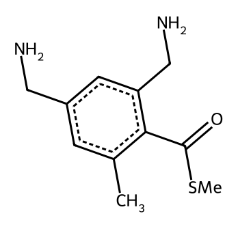 CSC(=O)c1c(C)cc(CN)cc1CN